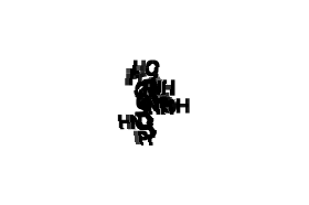 CC(C)CC1CNCC(C(=O)N[C@H](C(=O)N[C@H](CO)C(=O)C(C)C)[C@H](C)O)C1